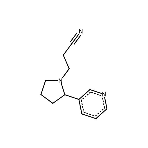 N#CCCN1CCCC1c1cccnc1